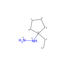 CCC1(NN)CCCC1